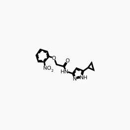 O=C(COc1ccccc1[N+](=O)[O-])Nc1cc(C2CC2)[nH]n1